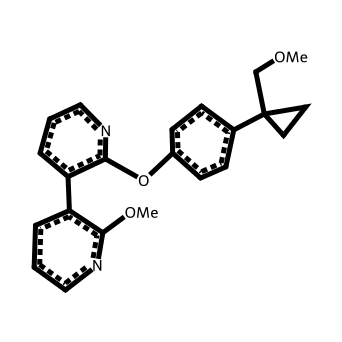 COCC1(c2ccc(Oc3ncccc3-c3cccnc3OC)cc2)CC1